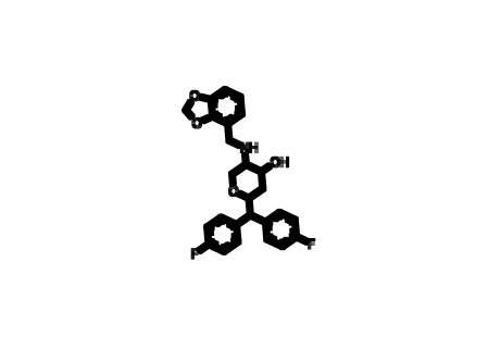 OC1CC(C(c2ccc(F)cc2)c2ccc(F)cc2)OCC1NCc1cccc2c1OCO2